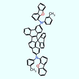 Cc1cccc(N(c2ccc3c4c(ccc3c2)-c2c(c3ccc(N(c5cccc(C)c5)c5cccc6c5oc5ccccc56)cc3c3ccccc23)C42c3ccccc3-c3ccccc32)c2cccc3c2oc2ccccc23)c1